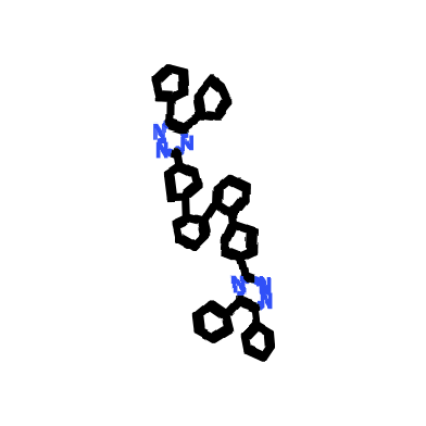 c1ccc(-c2nnc(-c3ccc(-c4ccccc4-c4ccccc4-c4ccc(-c5nnc(-c6ccccc6)c(-c6ccccc6)n5)cc4)cc3)nc2-c2ccccc2)cc1